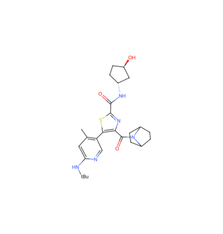 Cc1cc(NC(C)(C)C)ncc1-c1sc(C(=O)N[C@@H]2CC[C@@H](O)C2)nc1C(=O)N1C2CCC1CC2